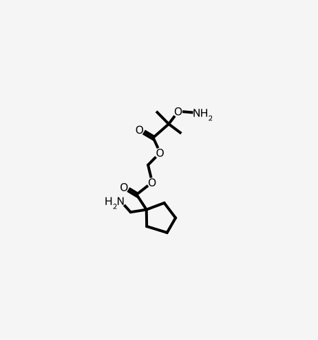 CC(C)(ON)C(=O)OCOC(=O)C1(CN)CCCC1